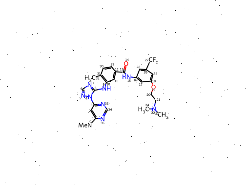 CNc1cc(-n2ncnc2Nc2cc(C(=O)Nc3cc(OCCN(C)C)cc(C(F)(F)F)c3)ccc2C)ncn1